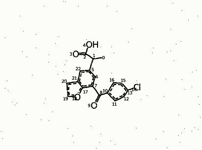 CC(C(=O)O)c1cc(C(=O)c2ccc(Cl)cc2)c2occc2c1